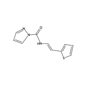 O=C(NC=Cc1cccs1)n1cccn1